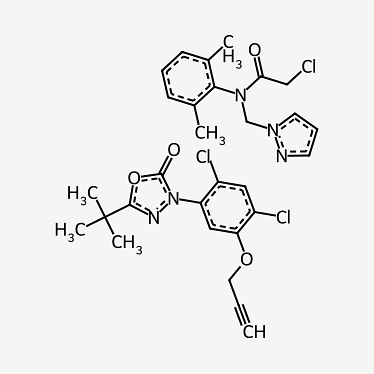 C#CCOc1cc(-n2nc(C(C)(C)C)oc2=O)c(Cl)cc1Cl.Cc1cccc(C)c1N(Cn1cccn1)C(=O)CCl